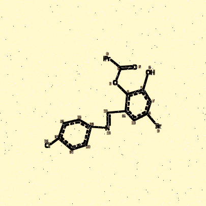 CC(C)C(=O)Oc1c(O)cc(Br)cc1C=Nc1ccc(Cl)cc1